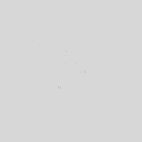 COC(=O)C=C(C)C=C[C@@]1(O)C(C)=C(Cc2ccc(F)c(F)c2)C(=O)CC1(C)C